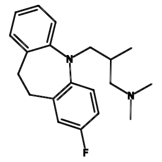 CC(CN(C)C)CN1c2ccccc2CCc2cc(F)ccc21